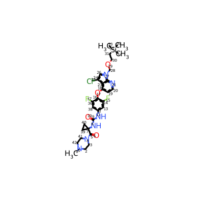 CN1CCN(C(=O)C2(NC(=O)Nc3cc(F)c(Oc4ccnc5c4c(Cl)cn5COCC[Si](C)(C)C)c(F)c3)CC2)CC1